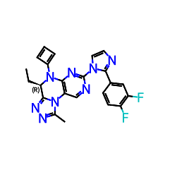 CC[C@@H]1c2nnc(C)n2-c2cnc(-n3ccnc3-c3ccc(F)c(F)c3)nc2N1C1=CC=C1